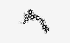 C[C@H]1Oc2cc(O)ccc2[C@@H](c2ccc(N3CCC(CN4CCN(c5ccc6c(c5)CN(C)C6=O)CC4)CC3)c(F)c2)[C@H]1c1ccccc1